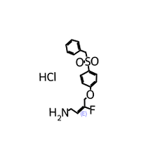 Cl.NC/C=C(/F)COc1ccc(S(=O)(=O)Cc2ccccc2)cc1